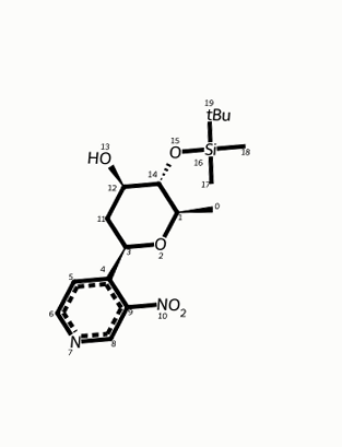 C[C@H]1O[C@@H](c2ccncc2[N+](=O)[O-])C[C@@H](O)[C@@H]1O[Si](C)(C)C(C)(C)C